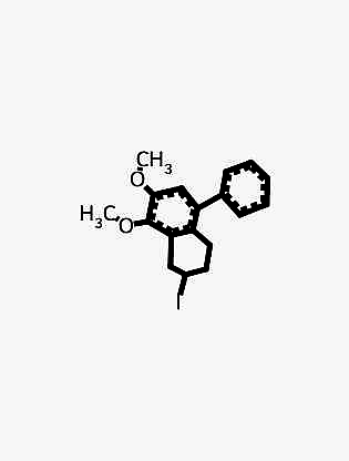 COc1cc(-c2ccccc2)c2c(c1OC)CC(I)CC2